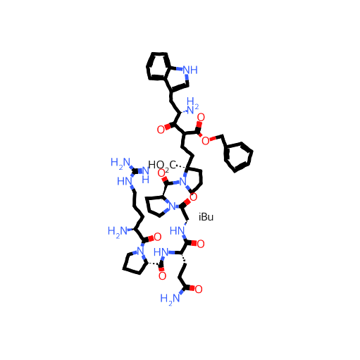 CC[C@H](C)[C@H](NC(=O)[C@H](CCC(N)=O)NC(=O)[C@@H]1CCCN1C(=O)[C@@H](N)CCCNC(=N)N)C(=O)N1CCC[C@H]1C(=O)N1CCC[C@@]1(CCC(C(=O)OCc1ccccc1)C(=O)[C@@H](N)Cc1c[nH]c2ccccc12)C(=O)O